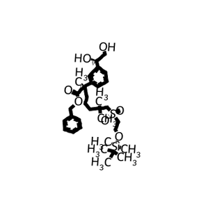 CC(C)(CCC[C@@](C)(C(=O)OCc1ccccc1)c1cccc([C@@H](O)CO)c1)CS(=O)(=O)CCO[Si](C)(C)C(C)(C)C